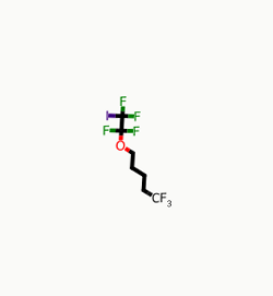 FC(F)(F)CCCCOC(F)(F)C(F)(F)I